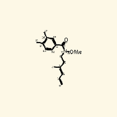 C=C/C=C(\C)CCN(OC)C(=O)c1ccc(C)c(C)c1